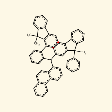 CC1(C)c2ccccc2-c2cccc(-c3ccccc3N(c3ccc4c(c3)C(C)(c3ccccc3)c3ccccc3-4)c3cccc4c3ccc3ccccc34)c21